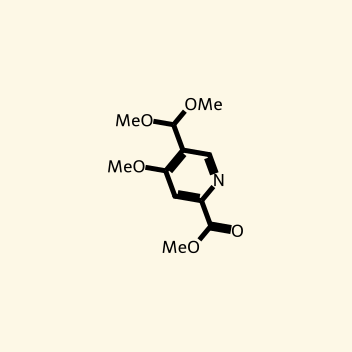 COC(=O)c1cc(OC)c(C(OC)OC)cn1